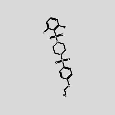 O=S(=O)(c1ccc(OC[18F])cc1)N1CCN(S(=O)(=O)c2c(F)cccc2F)CC1